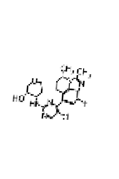 Cc1nc2c(F)cc(-c3nc(N[C@@H]4CCOC[C@H]4O)ncc3Cl)c3c2n1[C@@H](C)CC3